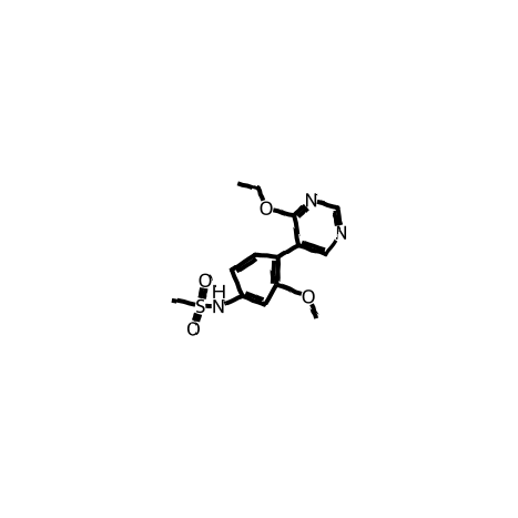 CCOc1ncncc1-c1ccc(NS(C)(=O)=O)cc1OC